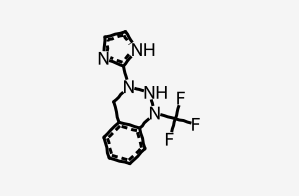 FC(F)(F)N1NN(c2ncc[nH]2)Cc2ccccc21